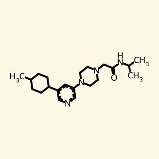 CC1CCC(c2cncc(N3CCN(CC(=O)NC(C)C)CC3)c2)CC1